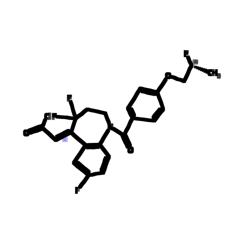 C[C@@H](F)COc1ccc(C(=O)N2CCC(F)(F)/C(=C\C(=O)Cl)c3cc(F)ccc32)cc1